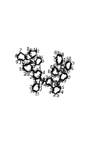 c1ccc([Si](c2ccccc2)(c2ccccc2)c2cccc(-c3ccc4c(c3)c3ccccc3n4-c3ccc4c(c3)c3ccccc3n4-c3cccc([Si](c4ccccc4)(c4ccccc4)c4ccccc4)c3)c2)cc1